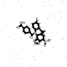 O=C(O)c1ccc(C(=O)N(c2ccc(F)cc2C2CC2)c2ccc([N+](=O)[O-])c3nonc23)cc1